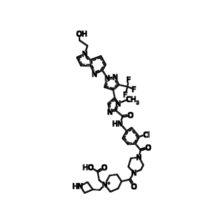 Cn1c(-c2cn(-c3ccc4c(ccn4CCO)n3)nc2C(F)(F)F)cnc1C(=O)Nc1ccc(C(=O)N2CCN(C(=O)C3CC[N+](CC(=O)O)(CC4CNC4)CC3)CC2)c(Cl)c1